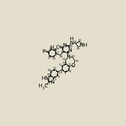 Cc1nc2cc(-c3ccc4c(c3)CN(c3nc(NC5CNC5)nc(C)c3Cc3ccc(F)cc3)CCO4)ccc2[nH]1